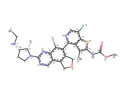 CC(C)CN[C@H]1CCN(c2ncc3c4c(c(-c5ncc(F)c6sc(NC(=O)OC(C)(C)C)c(C#N)c56)c(F)c3n2)COC4)[C@H]1C